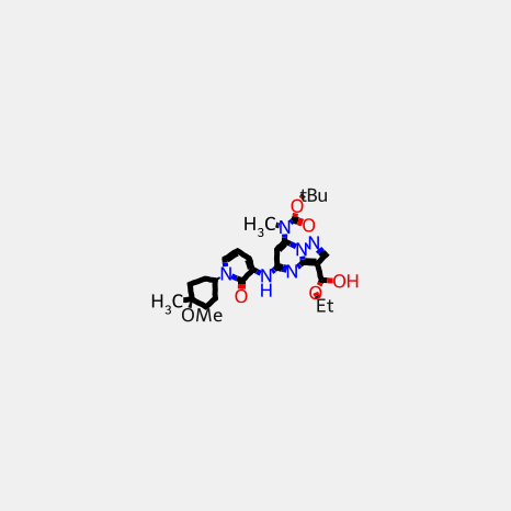 CCOC(O)c1cnn2c(N(C)C(=O)OC(C)(C)C)cc(Nc3cccn([C@H]4CC[C@](C)(OC)CC4)c3=O)nc12